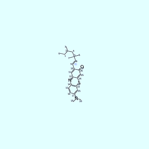 CCC(C)CC(C)(C)/C=C/c1cc2nc3ccc(N(C)C)cc3sc-2cc1=O